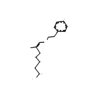 CC(=COCCc1ccccc1)CCCCCC(C)C